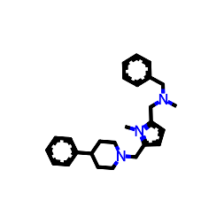 CN(Cc1ccccc1)Cc1ccc(CN2CCC(c3ccccc3)CC2)n1C